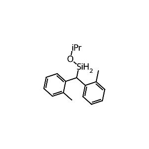 Cc1ccccc1C([SiH2]OC(C)C)c1ccccc1C